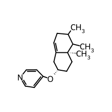 CC1CC=C2C[C@@H](Oc3ccncc3)CC[C@]2(C)C1C